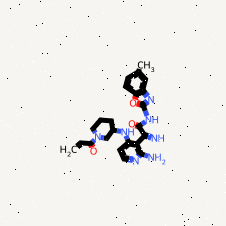 C=CC(=O)N1CCCC(Nc2ccnc(N)c2C(=N)C(=O)Nc2nc3cc(C)ccc3o2)C1